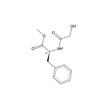 COC(=O)[C@H](Cc1ccccc1)NC(=O)CO